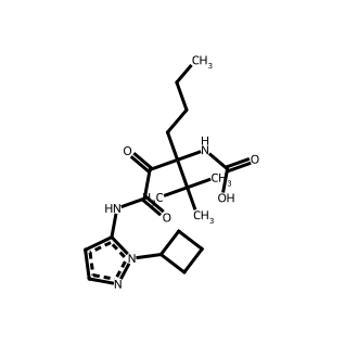 CCCCC(NC(=O)O)(C(=O)C(=O)Nc1ccnn1C1CCC1)C(C)(C)C